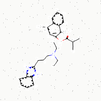 CCN(CCCc1nc2ccccc2[nH]1)CC[C@]1(OC(=O)C(C)C)C[C@H]2CCC[C@@H]1c1ccccc12